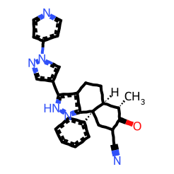 C[C@@H]1C(=O)C(C#N)C[C@@]2(c3ccccc3)c3n[nH]c(-c4cnn(-c5ccncc5)c4)c3CC[C@@H]12